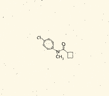 CN(C(=O)C1CCC1)c1ccc(Cl)cc1